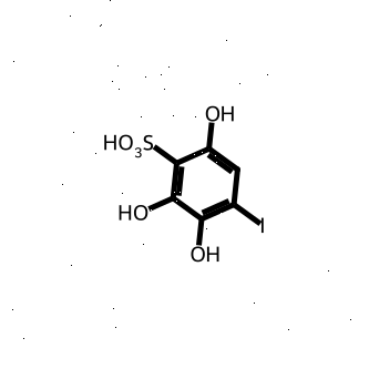 O=S(=O)(O)c1c(O)cc(I)c(O)c1O